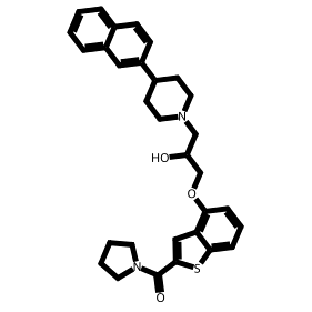 O=C(c1cc2c(OCC(O)CN3CCC(c4ccc5ccccc5c4)CC3)cccc2s1)N1CCCC1